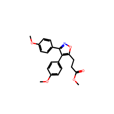 COC(=O)CCc1onc(-c2ccc(OC)cc2)c1-c1ccc(OC)cc1